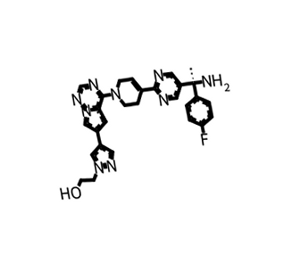 C[C@](N)(c1ccc(F)cc1)c1cnc(C2=CCN(c3ncnn4cc(-c5cnn(CCO)c5)cc34)CC2)nc1